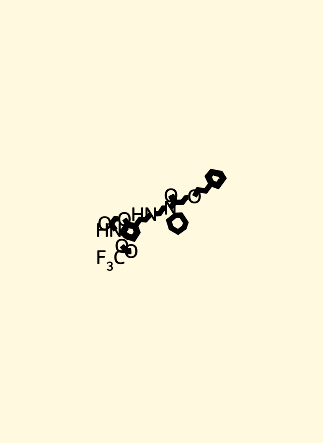 O=C1COc2c(CCNCCN(C(=O)CCOCCc3ccccc3)C3CCCCCC3)ccc(OC(=O)C(F)(F)F)c2N1